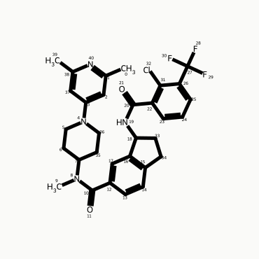 Cc1cc(N2CCC(N(C)C(=O)c3ccc4c(c3)C(NC(=O)c3cccc(C(F)(F)F)c3Cl)CC4)CC2)cc(C)n1